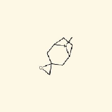 CN1C2CCC1CC1(CO1)C2